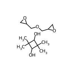 C(OCC1CO1)C1CO1.CC1(C)C(O)C(C)(C)C1O